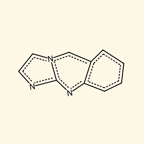 c1ccc2nc3nccn3cc2c1